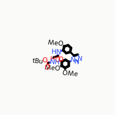 COc1ccc(-c2cnnn2-c2cc(O)c(OC)c(OC)c2)cc1NC(=O)CNC(=O)OC(C)(C)C